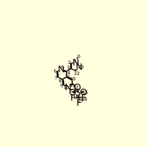 Cn1cc(-c2nccc3cnc(OS(=O)(=O)C(F)(F)F)cc23)cn1